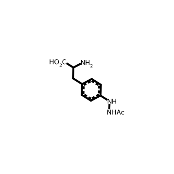 CC(=O)NNc1ccc(CC(N)C(=O)O)cc1